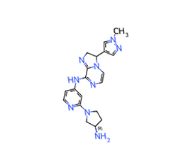 Cn1cc(C2CN=C3C(Nc4ccnc(N5CC[C@@H](N)C5)c4)=NC=CN32)cn1